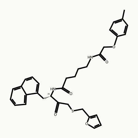 Cc1ccc(OCC(=O)NCCCCC(=O)N[C@@H](Cc2cccc3ccccc23)C(=O)CSCc2ccco2)cc1